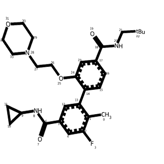 Cc1c(F)cc(C(=O)NC2CC2)cc1-c1ccc(C(=O)NCC(C)(C)C)cc1OCCN1CCOCC1